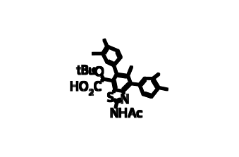 CC(=O)Nc1nc2c(-c3ccc(C)c(C)c3)c(C)c(-c3ccc(C)c(C)c3)c(C(OC(C)(C)C)C(=O)O)c2s1